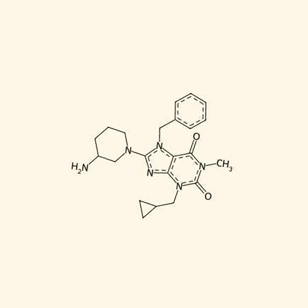 Cn1c(=O)c2c(nc(N3CCCC(N)C3)n2Cc2ccccc2)n(CC2CC2)c1=O